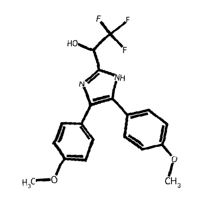 COc1ccc(-c2nc(C(O)C(F)(F)F)[nH]c2-c2ccc(OC)cc2)cc1